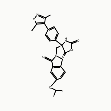 Cc1noc(C)c1-c1ccc([C@]2(CN3Cc4ccc(OC(F)F)cc4C3=O)NC(=O)NC2=O)cc1